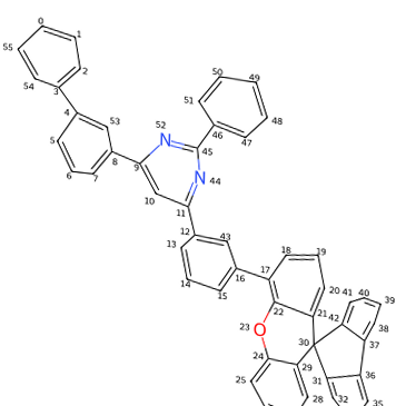 c1ccc(-c2cccc(-c3cc(-c4cccc(-c5cccc6c5Oc5ccccc5C65c6ccccc6-c6ccccc65)c4)nc(-c4ccccc4)n3)c2)cc1